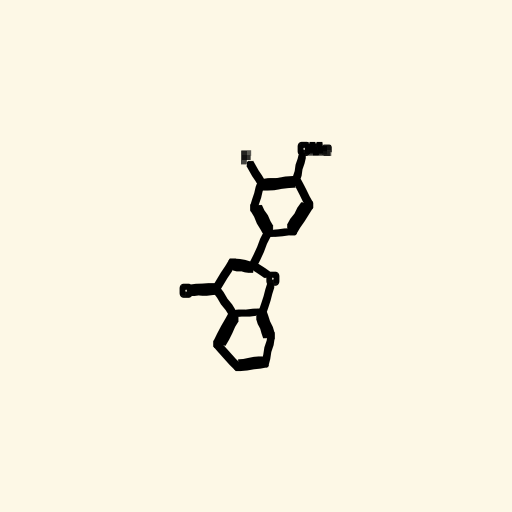 COc1ccc(-c2cc(=O)c3ccccc3o2)cc1F